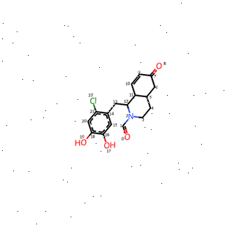 O=CN1CCC2CC(=O)C=CC2C1Cc1cc(O)c(O)cc1Cl